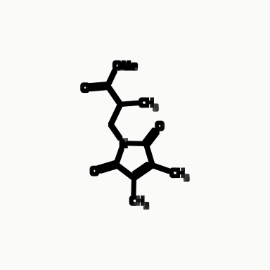 COC(=O)C(C)CN1C(=O)C(C)=C(C)C1=O